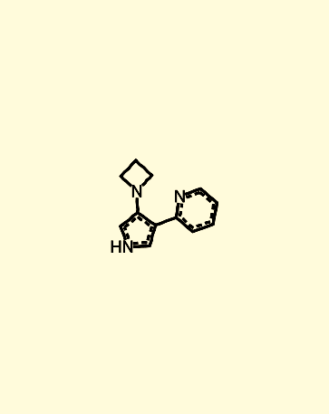 c1ccc(-c2c[nH]cc2N2CCC2)nc1